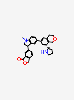 CN1CC(c2ccc3c(c2)C(=O)OC3)c2cc(-c3cc4c(c([C@@H]5CCCN5)c3)COCC4)ccc21